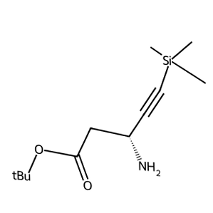 CC(C)(C)OC(=O)C[C@@H](N)C#C[Si](C)(C)C